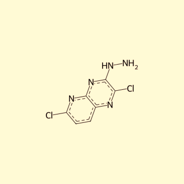 NNc1nc2nc(Cl)ccc2nc1Cl